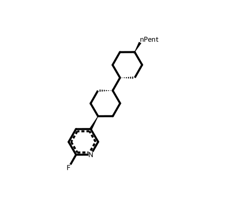 CCCCC[C@H]1CC[C@H]([C@H]2CC[C@H](c3ccc(F)nc3)CC2)CC1